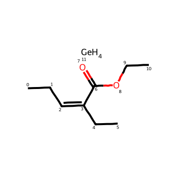 CCC=C(CC)C(=O)OCC.[GeH4]